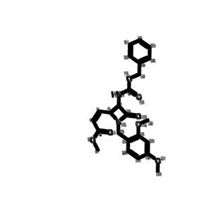 COC(=O)/C=C\C1C(NC(=O)OCc2ccccc2)C(=O)N1Cc1ccc(OC)cc1OC